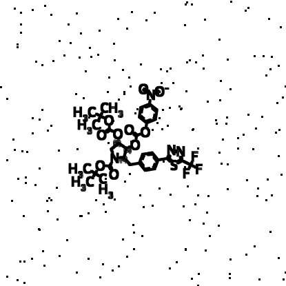 CC(C)(C)OC(=O)O[C@H]1CN(C(=O)OC(C)(C)C)[C@H](Cc2ccc(-c3nnc(C(F)(F)F)s3)cc2)[C@@H]1OC(=O)Oc1ccc([N+](=O)[O-])cc1